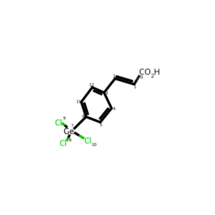 O=C(O)C=Cc1cc[c]([Ge]([Cl])([Cl])[Cl])cc1